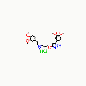 COc1ccc(CCN(C)CCCOc2cc(-c3ccc(OC)c(OC)c3)[nH]n2)cc1OC.Cl